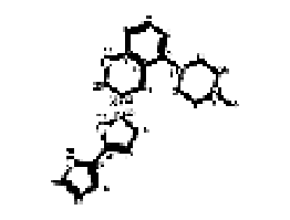 CN1CCN(c2cccc3c2C[C@H](N2CC=C(c4ccco4)O2)CO3)CC1